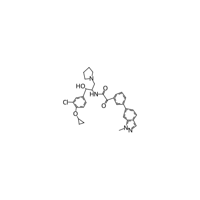 Cn1ncc2ccc(-c3cccc(C(=O)C(=O)NC(CN4CCCC4)C(O)c4ccc(OC5CC5)c(Cl)c4)c3)cc21